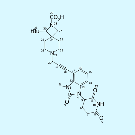 Cn1c(=O)n(C2CCC(=O)NC2=O)c2cccc(C#CCN3CCC4(CC3)CN(C(=O)O)C4C(C)(C)C)c21